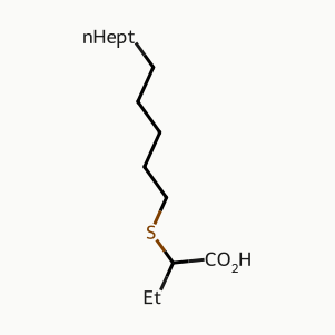 CCCCCCCCCCCCSC(CC)C(=O)O